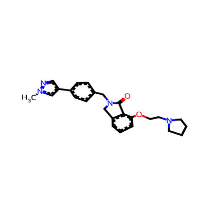 Cn1cc(-c2ccc(CN3Cc4cccc(OCCN5CCCC5)c4C3=O)cc2)cn1